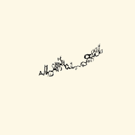 O=C1CCC(N2C(=O)c3cccc(NC4CCN(CCOCCNCc5ccc(-n6cc(NC(=O)c7coc(-c8ccnc(NCC9CC9)c8)n7)c(C(F)F)n6)cc5)CC4)c3C2=O)C(=O)N1